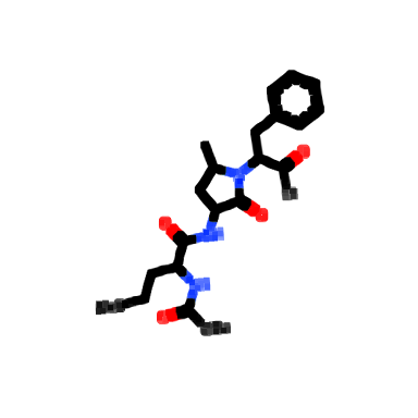 CCC(=O)C(Cc1ccccc1)N1C(=O)C(NC(=O)C(CCSC)NC(=O)OCC(C)C)CC1C